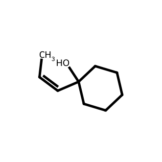 C/C=C\C1(O)CCCCC1